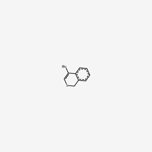 CCC(C)C1=CSCc2ccccc21